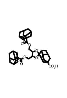 O=C(O)C12CC3CC(C1)C1(OC(COC(=O)C45CC6CC(C4)C(O)C(C6)C5)C(COC(=O)C45CC6CC(C4)C(O)C(C6)C5)O1)C(C3)C2